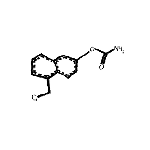 NC(=O)Oc1ccc2c(CCl)cccc2c1